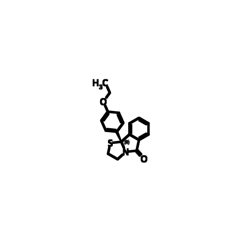 CCOc1ccc([C@]23SCCN2C(=O)c2ccccc23)cc1